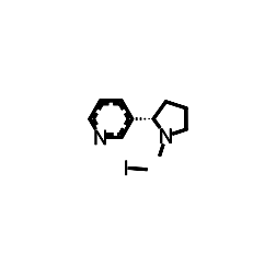 CI.CN1CCC[C@H]1c1cccnc1